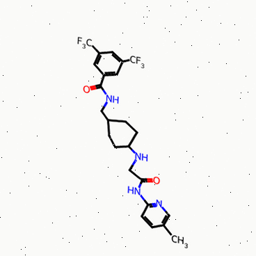 Cc1ccc(NC(=O)CNC2CCC(CNC(=O)c3cc(C(F)(F)F)cc(C(F)(F)F)c3)CC2)nc1